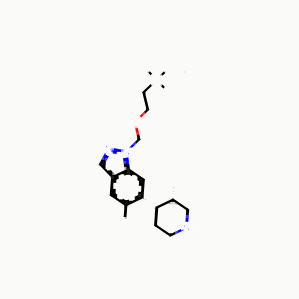 Cc1cc2cnn(COCC[Si](C)(C)C)c2cc1[C@H]1CCNC[C@H]1F